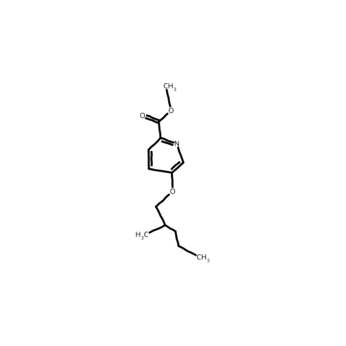 CCCC(C)COc1ccc(C(=O)OC)nc1